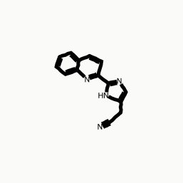 N#CCc1cnc(-c2ccc3ccccc3n2)[nH]1